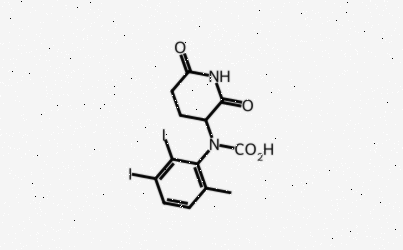 Cc1ccc(I)c(I)c1N(C(=O)O)C1CCC(=O)NC1=O